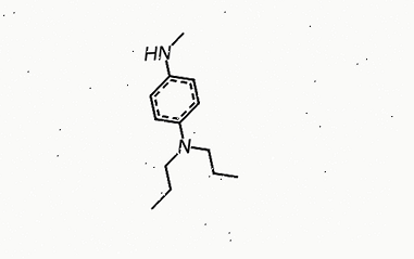 CCCN(CCC)c1ccc(NC)cc1